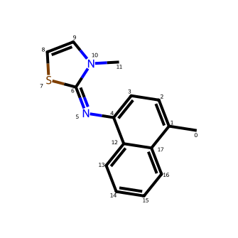 Cc1ccc(N=c2sccn2C)c2ccccc12